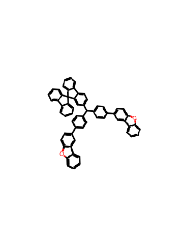 c1ccc2c(c1)-c1ccccc1C21c2ccccc2-c2ccc(C(c3ccc(-c4ccc5oc6ccccc6c5c4)cc3)c3ccc(-c4ccc5oc6ccccc6c5c4)cc3)cc21